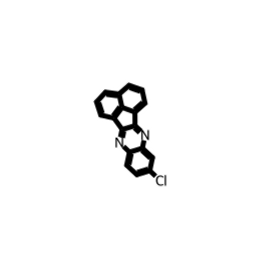 Clc1ccc2nc3c(nc2c1)-c1cccc2cccc-3c12